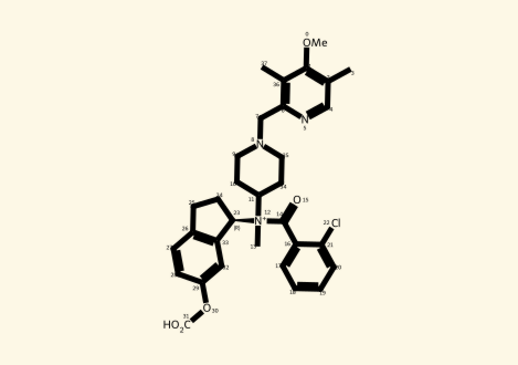 COc1c(C)cnc(CN2CCC([N+](C)(C(=O)c3ccccc3Cl)[C@@H]3CCc4ccc(OC(=O)O)cc43)CC2)c1C